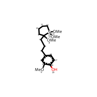 COc1cc(CCCC2(OC)CCCC[Si]2(OC)OC)ccc1O